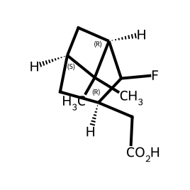 CC1(C)[C@H]2C[C@H](CC(=O)O)C(F)[C@@H]1C2